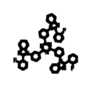 Fc1ccccc1-c1nc2ccccc2n1-c1cccc(-c2nc(-c3cccc(-n4c(-c5ccccc5F)nc5ccccc54)c3)nc(-c3cccc(-n4c(-c5ccccc5F)nc5ccccc54)c3)n2)c1